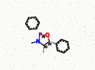 C[C@H]1[C@@H](c2ccccc2)O[P@](c2ccccc2)N1C